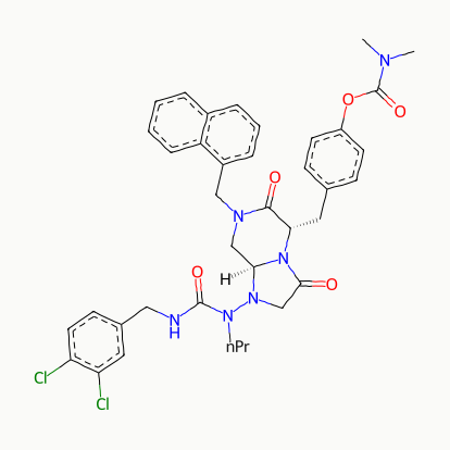 CCCN(C(=O)NCc1ccc(Cl)c(Cl)c1)N1CC(=O)N2[C@@H](Cc3ccc(OC(=O)N(C)C)cc3)C(=O)N(Cc3cccc4ccccc34)C[C@@H]21